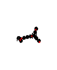 c1ccc(-c2ccc(-c3nc(-c4ccc(-c5ccccc5)cc4)nc(-c4ccc(-c5ccc(-c6ccc(-c7cc8cccnc8c8ccccc78)cc6)cc5)cc4)n3)cc2)cc1